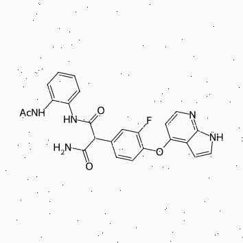 CC(=O)Nc1ccccc1NC(=O)C(C(N)=O)c1ccc(Oc2ccnc3[nH]ccc23)c(F)c1